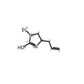 C=CCC1CN(CC)C(O)=N1